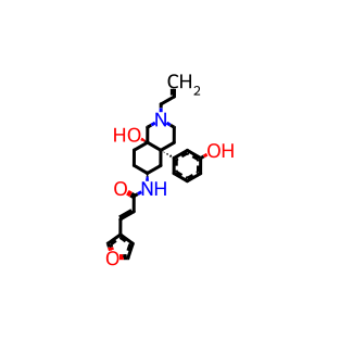 C=CCN1CC[C@@]2(c3cccc(O)c3)C[C@@H](NC(=O)/C=C/c3ccoc3)CC[C@]2(O)C1